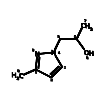 Cc1ccn(CC(C)O)n1